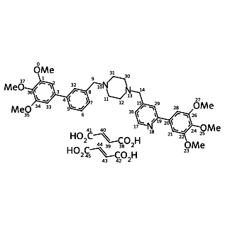 COc1cc(-c2cccc(CN3CCN(Cc4ccnc(-c5cc(OC)c(OC)c(OC)c5)c4)CC3)c2)cc(OC)c1OC.O=C(O)/C=C/C(=O)O.O=C(O)/C=C/C(=O)O